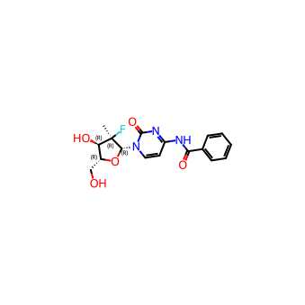 C[C@@]1(F)[C@H](O)[C@@H](CO)O[C@H]1n1ccc(NC(=O)c2ccccc2)nc1=O